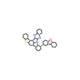 c1ccc2nc3c(nc2c1)c1c2c(cc4c5cccc(-c6ccc7oc8ccccc8c7c6)c5n3c41)sc1ccccc12